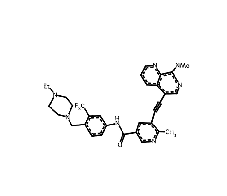 CCN1CCN(Cc2ccc(NC(=O)c3cnc(C)c(C#Cc4cnc(NC)c5ncccc45)c3)cc2C(F)(F)F)CC1